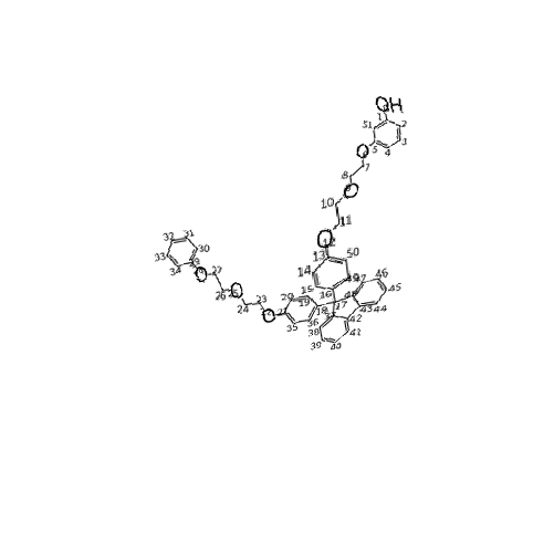 Oc1cccc(OCCOCCOc2ccc(C3(c4ccc(OCCOCCOc5ccccc5)cc4)c4ccccc4-c4ccccc43)cc2)c1